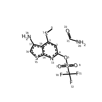 CSc1cc(OS(=O)(=O)C(F)(F)F)nc2scc(N)c12.NC=O